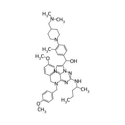 CCCC(C)Nc1nc(N(Cc2ccc(OC)cc2)Cc2ccc(OC)cc2)c2ncc(C(O)c3ccc(N4CCC(CN(C)C)CC4)c(C)c3)n2n1